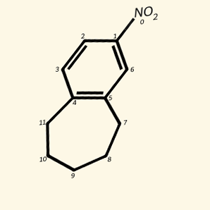 O=[N+]([O-])c1ccc2c(c1)CCCCC2